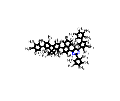 Bc1c(-c2c(B)c(B)c(B)c(-c3c(B)c(B)c(B)c(B)c3B)c2B)nc(-c2c(B)c(B)c(B)c(B)c2B)nc1-c1c(B)c(B)c(-c2c(B)c(B)c3c(c2B)C(C(B)(B)B)(C(B)(B)B)c2c(B)c(-c4c(B)c(B)c(B)c(B)c4B)c(B)c(B)c2-3)c2c(B)c(B)c(B)c(B)c12